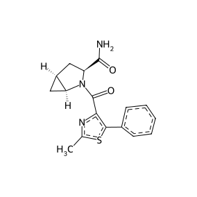 Cc1nc(C(=O)N2[C@H](C(N)=O)C[C@@H]3C[C@@H]32)c(-c2ccccc2)s1